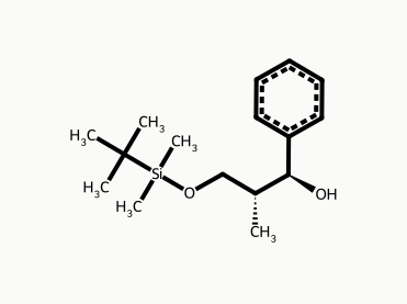 C[C@H](CO[Si](C)(C)C(C)(C)C)[C@H](O)c1ccccc1